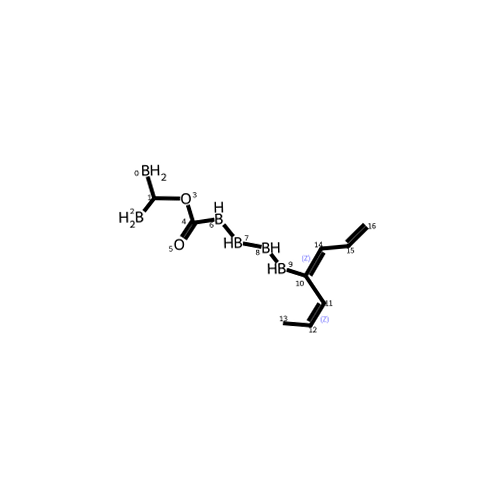 BC(B)OC(=O)BBBBC(/C=C\C)=C/C=C